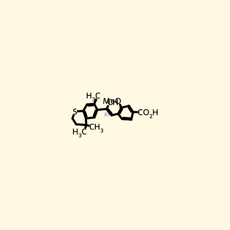 COc1cc(C(=O)O)ccc1/C=C(\C)c1cc2c(cc1C)SCCC2(C)C